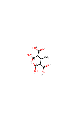 CC(C(C(=O)O)C(=O)O)C(C(=O)O)C(=O)O